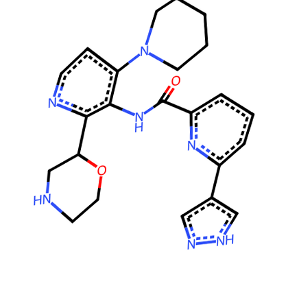 O=C(Nc1c(N2CCCCC2)ccnc1C1CNCCO1)c1cccc(-c2cn[nH]c2)n1